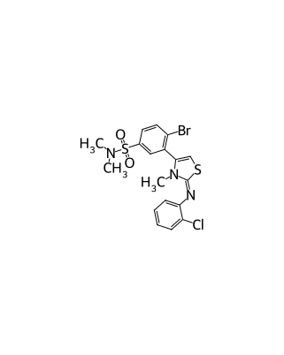 CN(C)S(=O)(=O)c1ccc(Br)c(-c2csc(=Nc3ccccc3Cl)n2C)c1